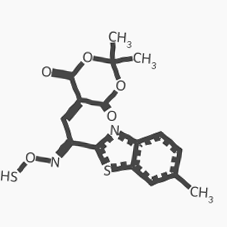 Cc1ccc2nc(/C(C=C3C(=O)OC(C)(C)OC3=O)=N/OS)sc2c1